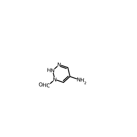 NC1=CN(C=O)NN=C1